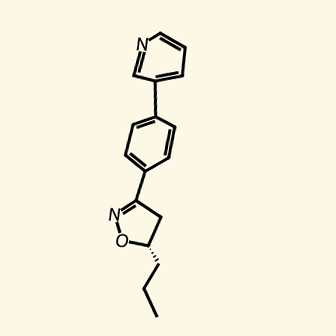 CCC[C@H]1CC(c2ccc(-c3cccnc3)cc2)=NO1